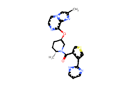 Cc1cn2ccnc(O[C@@H]3CC[C@@H](C)N(C(=O)c4cscc4-c4ncccn4)C3)c2n1